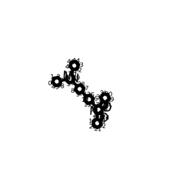 c1ccc(-c2cc(-c3ccc(-c4ccc(-c5nc6c7ccccc7oc6c6oc7ccccc7c56)cc4)cc3)nc(-c3ccccc3)n2)cc1